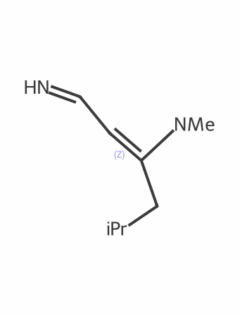 CN/C(=C\C=N)CC(C)C